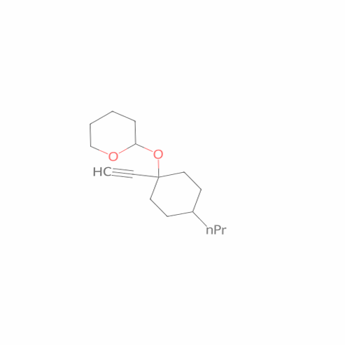 C#CC1(OC2CCCCO2)CCC(CCC)CC1